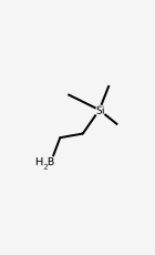 BCC[Si](C)(C)C